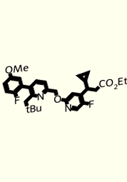 CCOC(=O)CC(c1cc(OCc2ccc(-c3cc(OC)ccc3F)c(CC(C)(C)C)n2)ncc1F)C1CC1